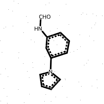 O=CNc1cccc(-n2cccc2)c1